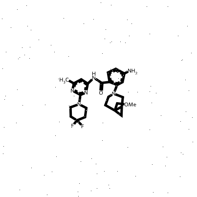 COCC12CCN(c3cc(N)ccc3C(=O)Nc3cc(C)nc(N4CCC(F)(F)CC4)n3)CC1C2